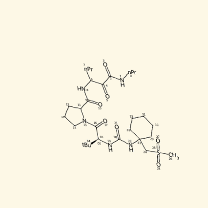 CCCNC(=O)C(=O)C(CCC)NC(=O)C1CCCN1C(=O)[C@@H](NC(=O)NC1(CS(C)(=O)=O)CCCCC1)C(C)(C)C